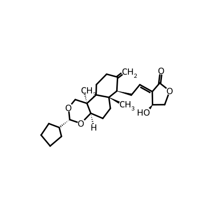 C=C1CCC2[C@]3(C)CO[C@@H](C4CCCC4)O[C@@H]3CC[C@@]2(C)[C@@H]1C/C=C1/C(=O)OC[C@H]1O